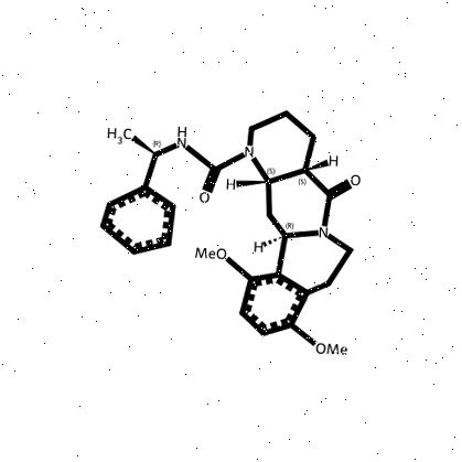 COc1ccc(OC)c2c1CCN1C(=O)[C@H]3CCCN(C(=O)N[C@H](C)c4ccccc4)[C@H]3C[C@H]21